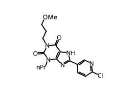 CCCn1c(=O)n(CCCOC)c(=O)c2[nH]c(-c3ccc(Cl)nc3)nc21